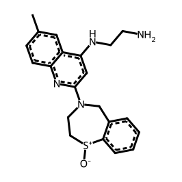 Cc1ccc2nc(N3CC[S+]([O-])c4ccccc4C3)cc(NCCN)c2c1